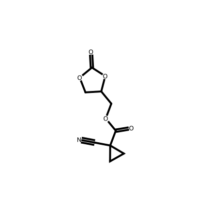 N#CC1(C(=O)OCC2COC(=O)O2)CC1